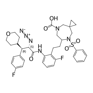 [N-]=[N+]=N[C@H](C(=O)Nc1cccc(F)c1CCC1CN(C(=O)O)CC2(CC2)CN1S(=O)(=O)c1ccccc1)[C@@H](c1ccc(F)cc1)C1CCOCC1